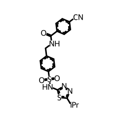 CC(C)c1nnc(NS(=O)(=O)c2ccc(CNC(=O)c3ccc(C#N)cc3)cc2)s1